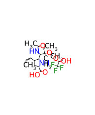 C/C=C\[C@@H]1C[C@H](C(=O)O)N[C@H]1[C@@H](NC(C)=O)[C@](C)(CC)OC.O=C(O)C(F)(F)F